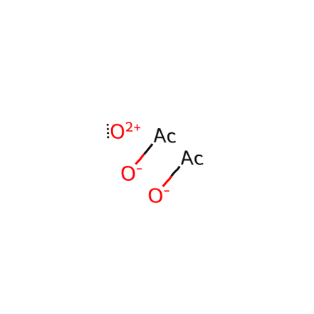 CC(=O)[O-].CC(=O)[O-].[O+2]